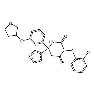 O=C1CC(c2ccsc2)(c2cccc(OC3CCOC3)n2)NC(=O)C1Sc1ccccc1Cl